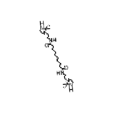 O=C(CCCCCCCCC(=O)NCCN1CCNC1=O)NCCN1CCNC1=O